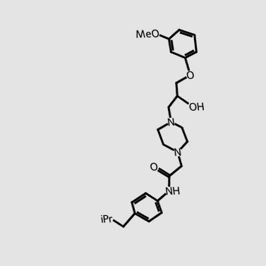 COc1cccc(OCC(O)CN2CCN(CC(=O)Nc3ccc(CC(C)C)cc3)CC2)c1